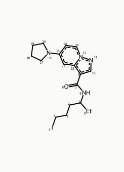 CCC(CCCI)NC(=O)c1cnn2ccc(N3CCCC3)cc12